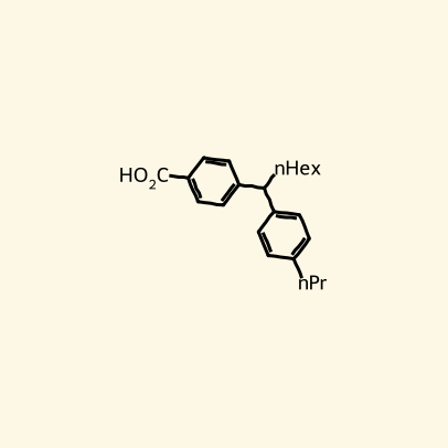 CCCCCCC(c1ccc(CCC)cc1)c1ccc(C(=O)O)cc1